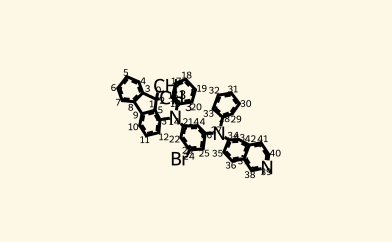 CC1(C)c2ccccc2-c2cccc(N(c3ccccc3)c3cc(Br)cc(N(c4ccccc4)c4ccc5cnccc5c4)c3)c21